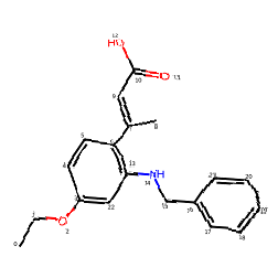 CCOc1ccc(C(C)=CC(=O)O)c(NCc2ccccc2)c1